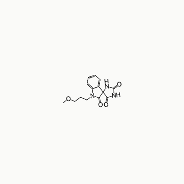 COCCCN1C(=O)C2(NC(=O)NC2=O)c2ccccc21